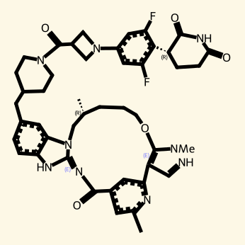 CN/C1=C(\C=N)c2cc(cc(C)n2)C(=O)/N=C2\Nc3ccc(CC4CCN(C(=O)C5CN(c6cc(F)c([C@H]7CCC(=O)NC7=O)c(F)c6)C5)CC4)cc3N2C[C@H](C)CCCO1